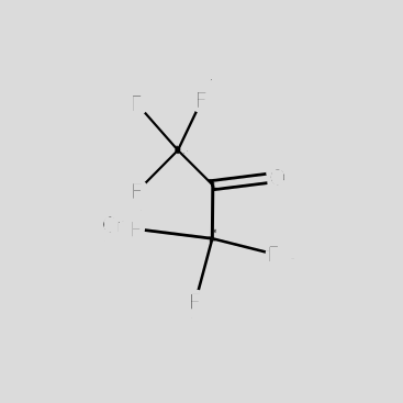 O=C(C(F)(F)F)C(F)(F)F.[Cr]